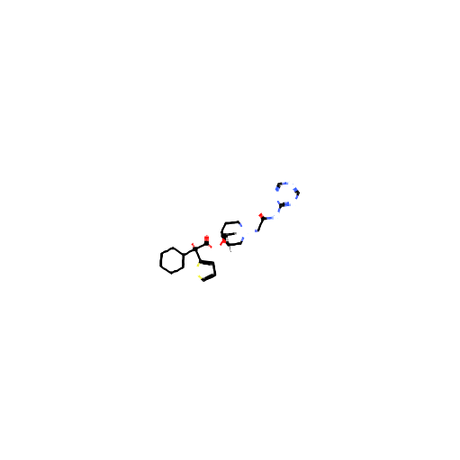 O=C(C[N+]12CCC(CC1)[C@@H](OC(=O)C(O)(c1cccs1)C1CCCCC1)C2)Nc1ncncn1